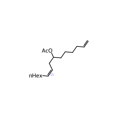 C=CCCCCC(C/C=C\CCCCCC)OC(C)=O